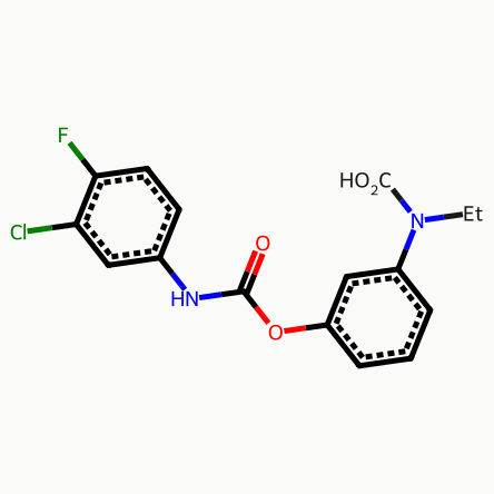 CCN(C(=O)O)c1cccc(OC(=O)Nc2ccc(F)c(Cl)c2)c1